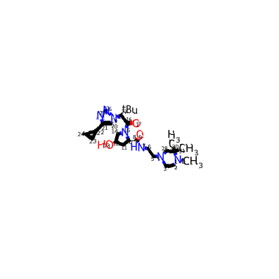 CN1CCN(CCNC(=O)[C@@H]2C[C@@H](O)CN2C(=O)[C@@H](n2cc(C3CC3)nn2)C(C)(C)C)CC1(C)C